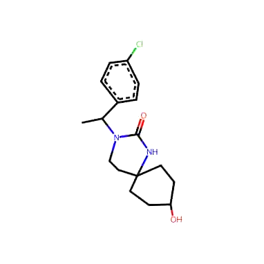 CC(c1ccc(Cl)cc1)N1CCC2(CCC(O)CC2)NC1=O